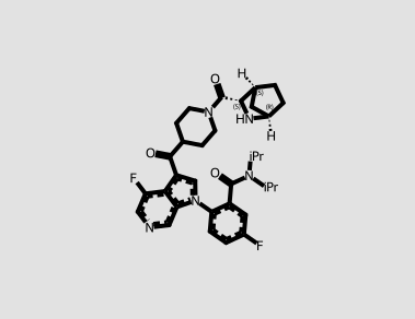 CC(C)N(C(=O)c1cc(F)ccc1-n1cc(C(=O)C2CCN(C(=O)[C@H]3N[C@@H]4CC[C@H]3C4)CC2)c2c(F)cncc21)C(C)C